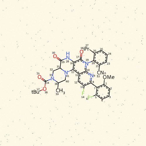 COc1cccc(F)c1-c1nc2c(cc1F)c1c(c(=O)n2-c2c(C#N)cccc2C(C)C)NC(=O)C2CN(C(=O)OC(C)(C)C)C(C)CN12